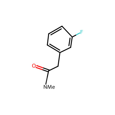 CNC(=O)Cc1cccc(F)c1